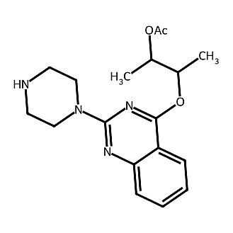 CC(=O)OC(C)C(C)Oc1nc(N2CCNCC2)nc2ccccc12